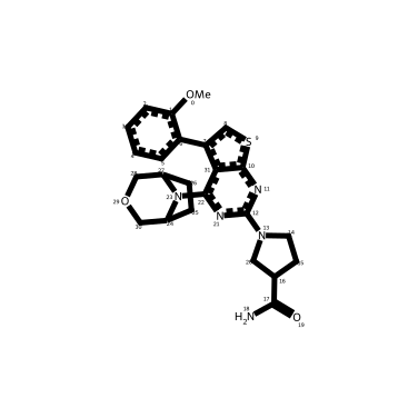 COc1ccccc1-c1csc2nc(N3CCC(C(N)=O)C3)nc(N3C4CCC3COC4)c12